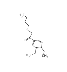 CCCCSCC(=O)c1ccc(CC)c(CC)c1